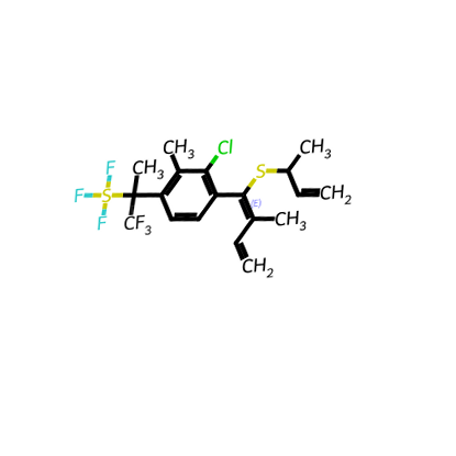 C=C/C(C)=C(/SC(C)C=C)c1ccc(C(C)(C(F)(F)F)S(F)(F)F)c(C)c1Cl